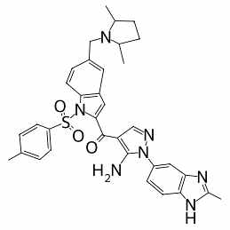 Cc1ccc(S(=O)(=O)n2c(C(=O)c3cnn(-c4ccc5[nH]c(C)nc5c4)c3N)cc3cc(CN4C(C)CCC4C)ccc32)cc1